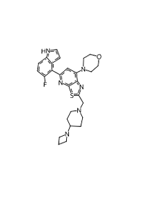 Fc1ccc2[nH]ccc2c1-c1cc(N2CCOCC2)c2nc(CN3CCC(N4CCC4)CC3)sc2n1